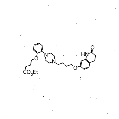 CCOC(=O)CCCOc1ccccc1N1CCN(CCCCOc2ccc3c(c2)NC(=O)CC3)CC1